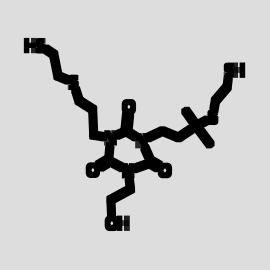 CC(C)(CCn1c(=O)n(CCO)c(=O)n(CCCSCCS)c1=O)SCCS